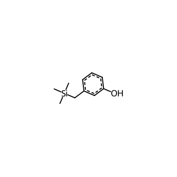 C[Si](C)(C)Cc1cccc(O)c1